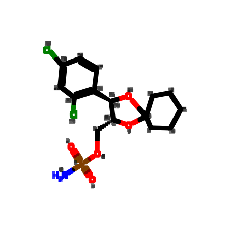 NS(=O)(=O)OC[C@H]1OC2(CCCCC2)O[C@@H]1c1ccc(Cl)cc1Cl